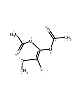 COC([SiH3])=C(OC(C)=O)OC(C)=O